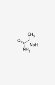 CCC(N)=O.[NaH]